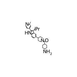 Cc1cc(-c2[nH]c3ccc(C4CCN(C(=O)C5CCC(N)CC5)CC4)cc3c2C(C)C)ccn1